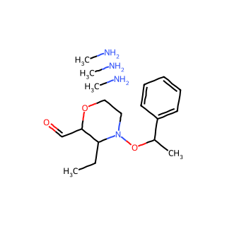 CCC1C(C=O)OCCN1OC(C)c1ccccc1.CN.CN.CN